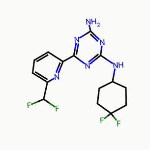 Nc1nc(NC2CCC(F)(F)CC2)nc(-c2cccc(C(F)F)n2)n1